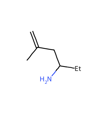 C=C(C)CC(N)CC